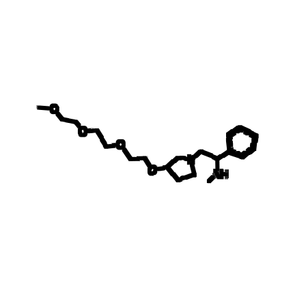 CNC(CN1CCC(OCCOCCOCCOC)C1)c1ccccc1